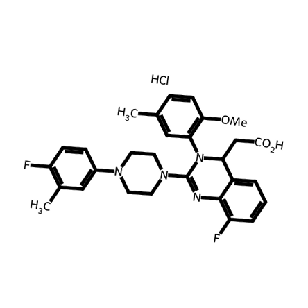 COc1ccc(C)cc1N1C(N2CCN(c3ccc(F)c(C)c3)CC2)=Nc2c(F)cccc2C1CC(=O)O.Cl